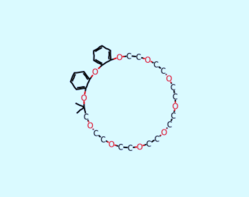 CC1(C)COCCOCCOCCOCCOCCOCCOCCOc2ccccc2Oc2ccccc2O1